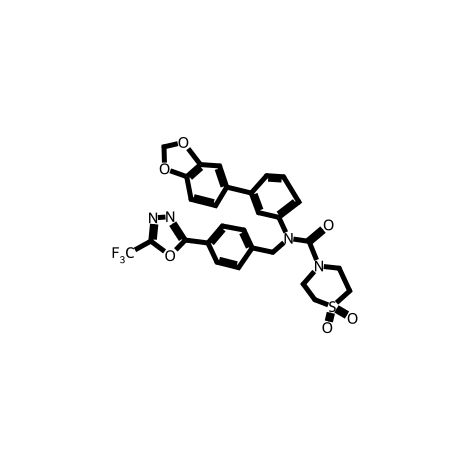 O=C(N1CCS(=O)(=O)CC1)N(Cc1ccc(-c2nnc(C(F)(F)F)o2)cc1)c1cccc(-c2ccc3c(c2)OCO3)c1